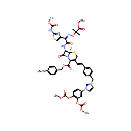 COc1ccc(COC(=O)C2=C(/C=C/c3ccc(C[n+]4ccn(-c5ccc(OC(=O)OC(C)(C)C)c(OC(=O)OC(C)(C)C)c5)c4)cc3)CS[C@@H]3[C@H](NC(=O)/C(=N\OC(C)(C)C(=O)OC(C)(C)C)c4csc(NC(=O)OC(C)(C)C)n4)C(=O)N23)cc1